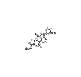 C[C@@H]1CN(c2ncnc3c2c(C(F)F)cn3-c2cc(C#N)ccn2)[C@@H](C)CN1C(=O)OC(C)(C)C